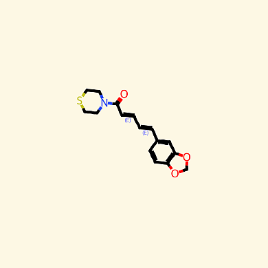 O=C(/C=C/C=C/c1ccc2c(c1)OCO2)N1CCSCC1